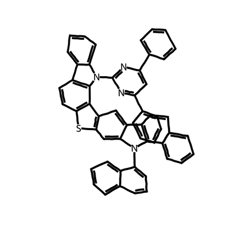 c1ccc(-c2cc(-c3ccccc3)nc(-n3c4ccccc4c4ccc5sc6cc7c(cc6c5c43)c3ccc4ccccc4c3n7-c3cccc4ccccc34)n2)cc1